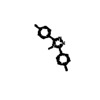 Cc1ccc(-c2nnc(-c3ccc(C)cc3)n2C)cc1